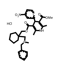 COC(=O)C1=C(C)NC(C)=C(C(=O)OCC2(CN(C)Cc3ccccc3)CCCCC2)C1c1cccc([N+](=O)[O-])c1.Cl